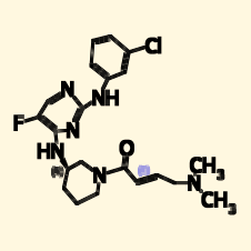 CN(C)C/C=C/C(=O)N1CCC[C@@H](Nc2nc(Nc3cccc(Cl)c3)ncc2F)C1